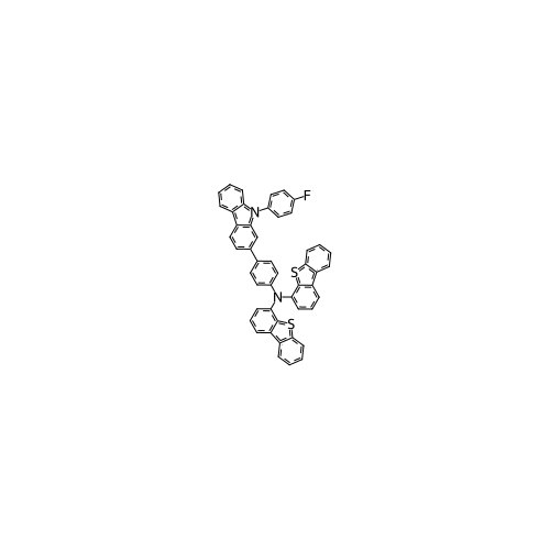 Fc1ccc(-n2c3ccccc3c3ccc(-c4ccc(N(c5cccc6c5sc5ccccc56)c5cccc6c5sc5ccccc56)cc4)cc32)cc1